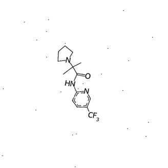 CC(C)(C(=O)Nc1ccc(C(F)(F)F)cn1)N1CCCC1